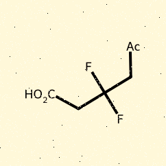 CC(=O)CC(F)(F)CC(=O)O